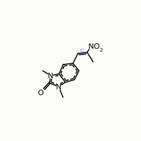 C/C(=C\c1ccc2c(c1)n(C)c(=O)n2C)[N+](=O)[O-]